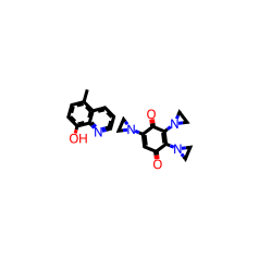 Cc1ccc(O)c2ncccc12.O=C1C=C(N2CC2)C(=O)C(N2CC2)=C1N1CC1